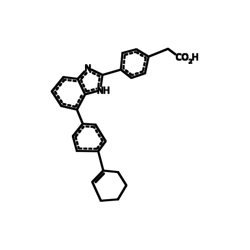 O=C(O)Cc1ccc(-c2nc3cccc(-c4ccc(C5=CCCCC5)cc4)c3[nH]2)cc1